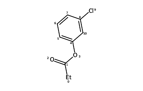 CCC(=O)Oc1cccc(Cl)c1